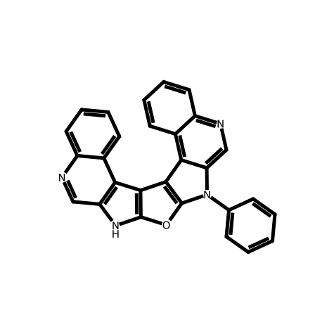 c1ccc(-n2c3cnc4ccccc4c3c3c4c([nH]c5cnc6ccccc6c54)oc32)cc1